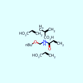 C=C(C)C(=O)O.C=CC(=O)NCOCCCC.C=CC(=O)O.C=CC(=O)O